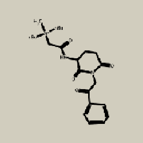 CCCC[N+](C)(CCCC)CC(=O)NC1CCC(=O)N(CC(=O)c2ccccc2)C1=O